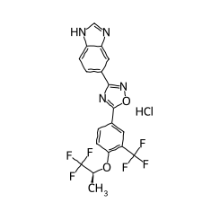 C[C@H](Oc1ccc(-c2nc(-c3ccc4[nH]cnc4c3)no2)cc1C(F)(F)F)C(F)(F)F.Cl